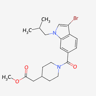 COC(=O)CC1CCN(C(=O)c2ccc3c(Br)cn(CC(C)C)c3c2)CC1